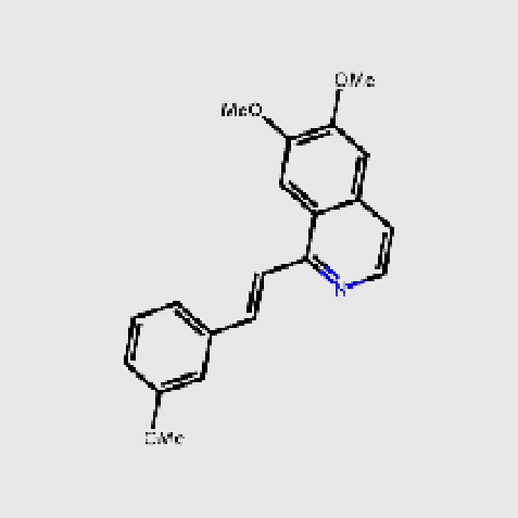 COc1cccc(C=Cc2nccc3cc(OC)c(OC)cc23)c1